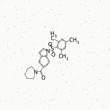 Cc1cc(C)c(S(=O)(=O)n2ccc3cc(C(=O)N4CCCCC4)ccc32)c(C)c1